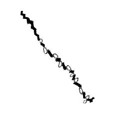 C=C(C)C(=O)OCCOCCOCCOCCOCCOCCOCCOCCOCCCCCCCCCCCC